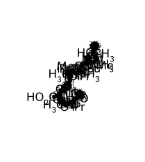 CC[C@H](C)[C@@H]([C@@H](CC(=O)N1CCC[C@H]1[C@H](OC)[C@@H](C)C(=O)N[C@H](C)[C@@H](O)c1ccccc1)OC)N(C)C(=O)[C@@H](NC(=O)[C@H](C(C)C)N(C)C(=O)OCc1ccc(NC(=O)[C@H](CCC(=O)O)NC(=O)[C@H](C)NC(=O)[C@@H](CC(C)C)NC(=O)CCN2C(=O)C=CC2=O)cc1)C(C)C